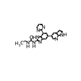 CCNC(=O)Nc1nc2cc(-c3cnc4[nH]ccc4c3)cc(-c3ncccn3)c2[nH]1